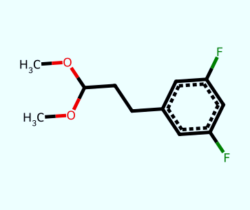 COC(CCc1cc(F)cc(F)c1)OC